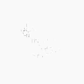 CC1CC=CCC1[C@]1(CO[C@H](C)c2cc(C(F)(F)F)cc(C(F)(F)F)c2)CCC(n2cn[nH]c2=O)CN1